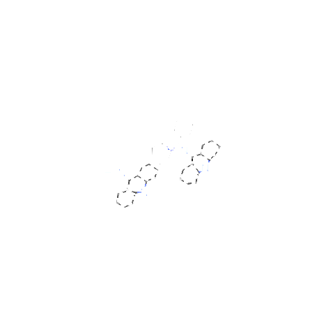 C1CCC(CC2CCCCC2)CC1.Nc1c2ccccc2nc2ccccc12.Nc1c2ccccc2nc2ccccc12